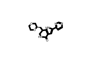 O=C1NCC(C[C@@H]2COCCO2)c2[nH]c(-c3ccncn3)cc21